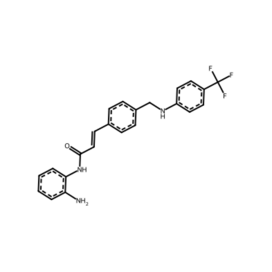 Nc1ccccc1NC(=O)C=Cc1ccc(CNc2ccc(C(F)(F)F)cc2)cc1